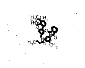 CCCc1nc2c(C)cc(N3C(=O)c4ccccc4C3=O)cc2n1Cc1ccc(-c2cccc(C(C)(C)C)c2C(=O)O)cc1